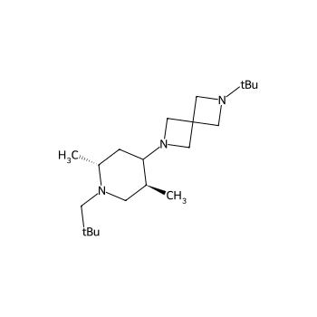 C[C@@H]1CC(N2CC3(C2)CN(C(C)(C)C)C3)[C@@H](C)CN1CC(C)(C)C